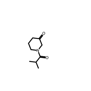 CC(C)C(=O)N1CCCC(=O)C1